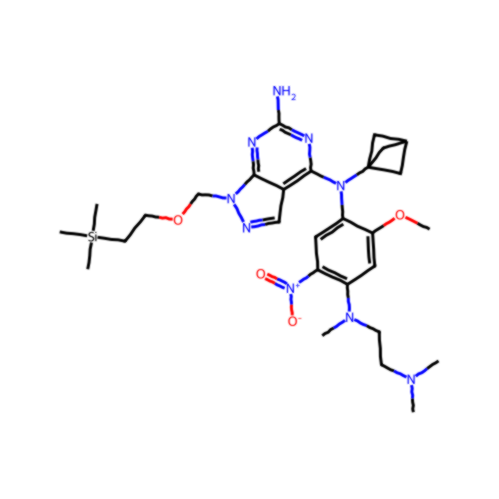 COc1cc(N(C)CCN(C)C)c([N+](=O)[O-])cc1N(c1nc(N)nc2c1cnn2COCC[Si](C)(C)C)C12CC(C1)C2